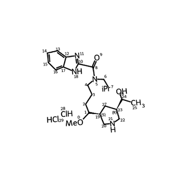 COC(CCCN(CC(C)C)C(=O)c1nc2ccccc2[nH]1)[C@@H]1CNC[C@H](C(C)O)C1.Cl.Cl